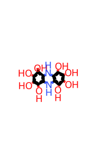 Oc1c(O)c(O)c2c(c1O)Nc1c(O)c(O)c(O)c(O)c1N2